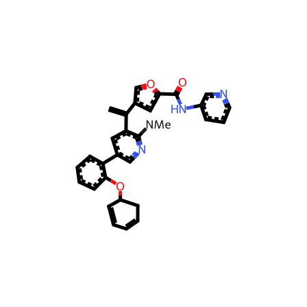 C=C(c1coc(C(=O)Nc2cccnc2)c1)c1cc(-c2ccccc2OC2C=CC=CC2)cnc1NC